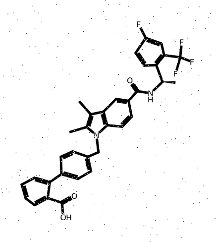 Cc1c(C)n(Cc2ccc(-c3ccccc3C(=O)O)cc2)c2ccc(C(=O)N[C@H](C)c3ccc(F)cc3C(F)(F)F)cc12